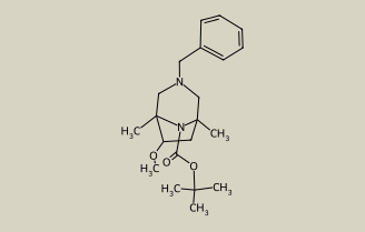 COC1CC2(C)CN(Cc3ccccc3)CC1(C)N2C(=O)OC(C)(C)C